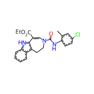 CCOC(=O)C1=CN(C(=O)Nc2ccc(Cl)cc2C)CCc2c1[nH]c1ccccc21